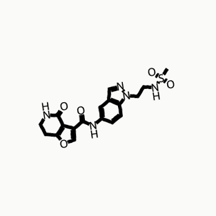 CS(=O)(=O)NCCn1ncc2cc(NC(=O)c3coc4c3C(=O)NCC4)ccc21